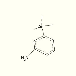 C[Si](C)(C)c1cccc(N)c1